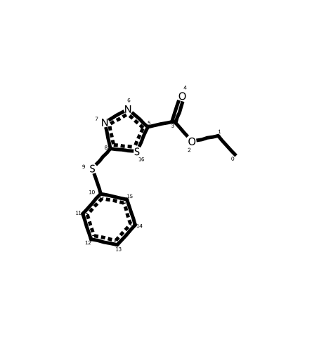 CCOC(=O)c1nnc(Sc2ccccc2)s1